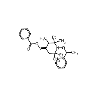 CCC1(C)C/C(=N/OC(=O)c2ccccc2)C(C)C(C)(CC)N1OC(C)c1ccccc1